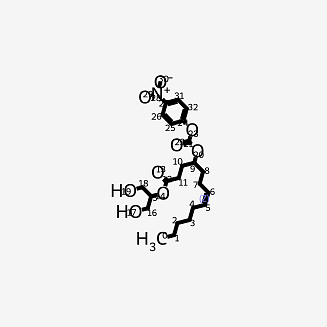 CCCCC/C=C\CCC(CCC(=O)OC(CO)CO)OC(=O)Oc1ccc([N+](=O)[O-])cc1